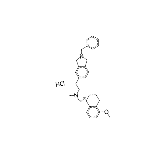 COc1cccc2c1CCC[C@H]2CN(C)CCc1ccc2c(c1)CN(Cc1ccccc1)C2.Cl